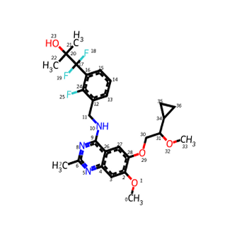 COc1cc2nc(C)nc(NCc3cccc(C(F)(F)C(C)(C)O)c3F)c2cc1OCC(OC)C1CC1